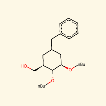 CCCCO[C@@H]1[C@@H](CO)CC(Cc2ccccc2)C[C@H]1OCCCC